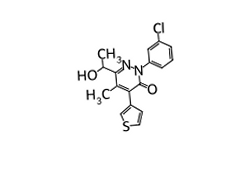 Cc1c(C(C)O)nn(-c2cccc(Cl)c2)c(=O)c1-c1ccsc1